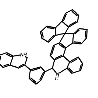 C1=C(c2cccc(C3Nc4ccccc4-c4c3ccc3c4-c4ccccc4C34c3ccccc3-c3ccccc34)c2)CNc2ccccc21